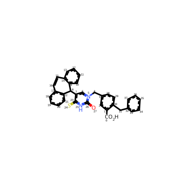 O=C(O)c1cc(Cn2cc(C3c4ccccc4C=Cc4ccccc43)c(=S)[nH]c2=O)ccc1Cc1ccccc1